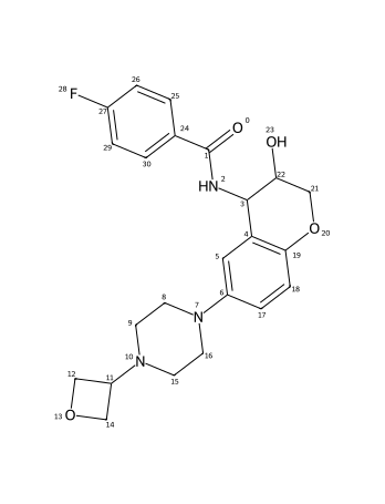 O=C(NC1c2cc(N3CCN(C4COC4)CC3)ccc2OCC1O)c1ccc(F)cc1